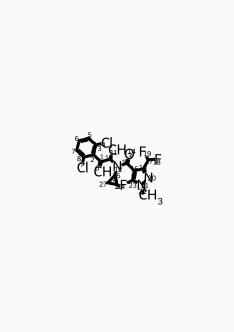 C=C(c1c(Cl)cccc1Cl)C(C)N(C(=O)c1c(C(F)F)nn(C)c1F)C1CC1